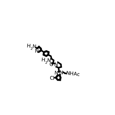 CC(=O)NCCn1c(C2CCCN(C(=O)CC(N)Cc3ccc(-c4ccc(N)nc4)cc3)C2)nc2c(Cl)cccc21